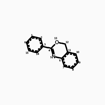 c1ccc(C2=Nc3ccccc3CO2)cc1